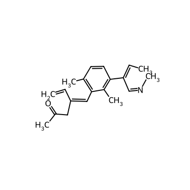 C=C/C(=C\c1c(C)ccc(C(/C=N\C)=C/C)c1C)CC(C)=O